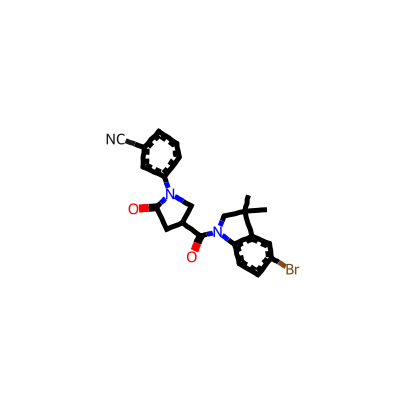 CC1(C)CN(C(=O)C2CC(=O)N(c3cccc(C#N)c3)C2)c2ccc(Br)cc21